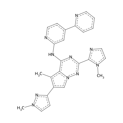 Cc1c(-c2ccn(C)n2)cn2nc(-c3nccn3C)nc(Nc3cc(-c4ccccn4)ccn3)c12